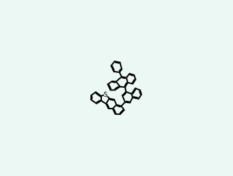 c1ccc(-c2c3ccccc3c(-c3cc(-c4cccc5cc6c(cc45)sc4ccccc46)cc4ccccc34)c3ccccc23)cc1